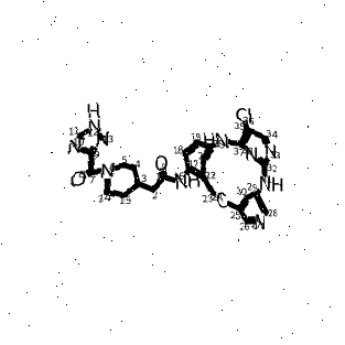 O=C(CC1CCN(C(=O)c2nc[nH]n2)CC1)Nc1ccc2cc1CCc1cncc(c1)Nc1ncc(Cl)c(n1)N2